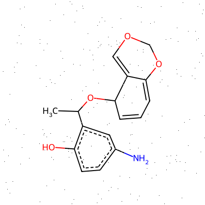 CC(OC1C=CC=C2OCOC=C21)c1cc(N)ccc1O